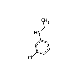 CCNc1cc[c]c(Cl)c1